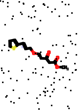 COC(=O)CC(=O)CCOC/C=C/c1cccs1